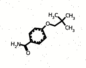 CC(C)(C)COc1ccc(C(N)=O)cc1